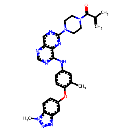 C=C(C)C(=O)N1CCN(c2ncc3ncnc(Nc4ccc(Oc5ccc6c(c5)nnn6C)c(C)c4)c3n2)CC1